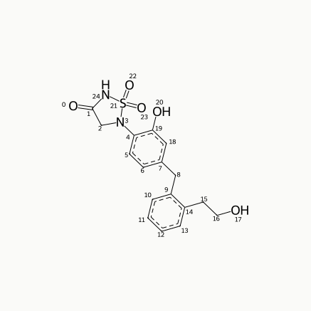 O=C1CN(c2ccc(Cc3ccccc3CCO)cc2O)S(=O)(=O)N1